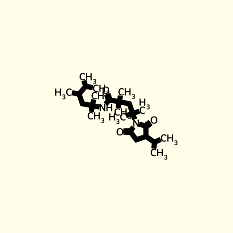 CC(C)C(C)CC(C)(C)NC(=O)C(C)(C)CC(C)(C)N1C(=O)CC(C(C)C)C1=O